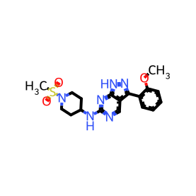 COc1ccccc1-c1n[nH]c2nc(NC3CCN(S(C)(=O)=O)CC3)ncc12